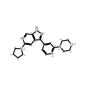 c1cc(-c2n[nH]c3cnc(N4CCCC4)cc23)cc(N2CCOCC2)n1